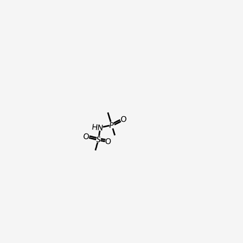 CP(C)(=O)NS(C)(=O)=O